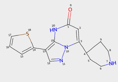 O=c1cc(C2CCNCC2)n2ncc(-c3cccs3)c2[nH]1